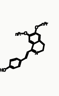 CCCOc1cc2c(cc1OCCC)C(C=Cc1ccc(O)cc1)=NCC2